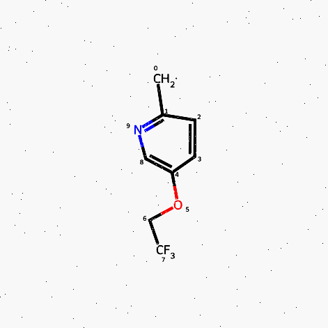 [CH2]c1ccc(OCC(F)(F)F)cn1